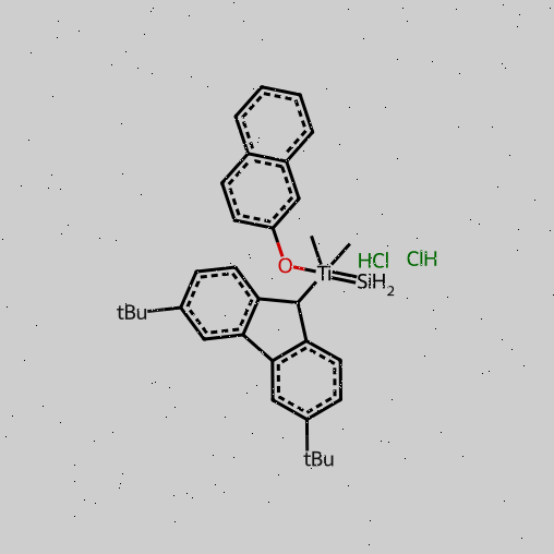 CC(C)(C)c1ccc2c(c1)-c1cc(C(C)(C)C)ccc1[CH]2[Ti]([CH3])([CH3])(=[SiH2])[O]c1ccc2ccccc2c1.Cl.Cl